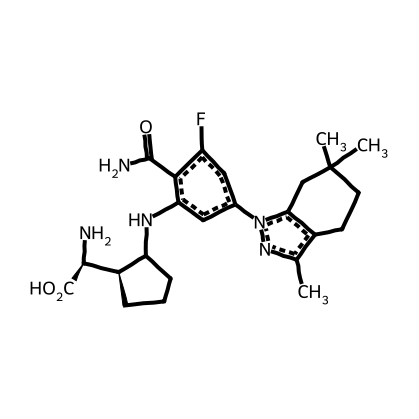 Cc1nn(-c2cc(F)c(C(N)=O)c(NC3CCC[C@H]3[C@H](N)C(=O)O)c2)c2c1CCC(C)(C)C2